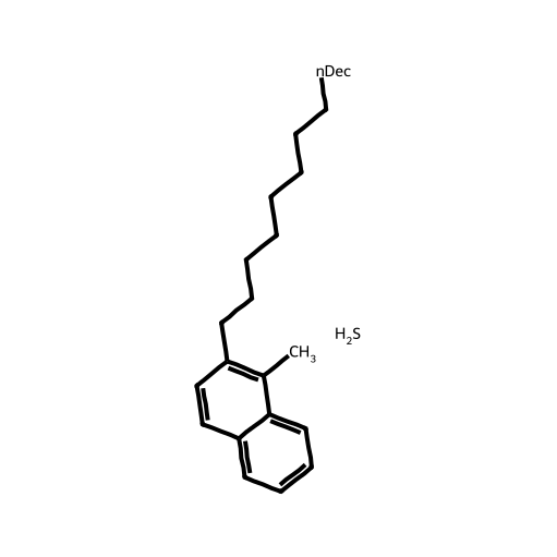 CCCCCCCCCCCCCCCCCCc1ccc2ccccc2c1C.S